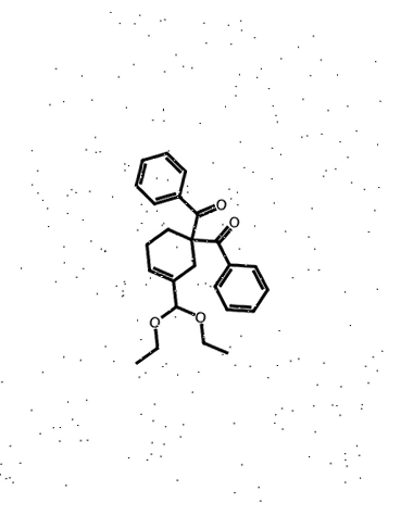 CCOC(OCC)C1=CCCC(C(=O)c2ccccc2)(C(=O)c2ccccc2)C1